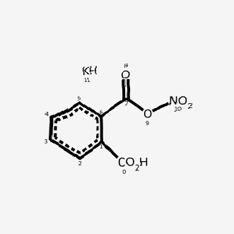 O=C(O)c1ccccc1C(=O)O[N+](=O)[O-].[KH]